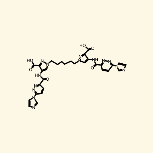 O=C(Nc1cn(CCCCCCn2cc(NC(=O)c3ccc(-n4ccnc4)nn3)c(C(=O)O)n2)nc1C(=O)O)c1ccc(-n2ccnc2)nn1